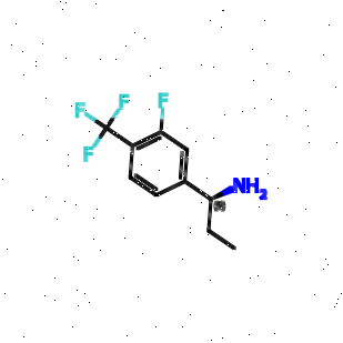 CC[C@H](N)c1ccc(C(F)(F)F)c(F)c1